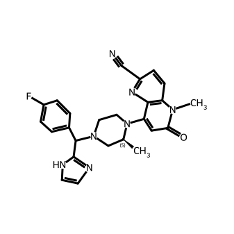 C[C@H]1CN(C(c2ccc(F)cc2)c2ncc[nH]2)CCN1c1cc(=O)n(C)c2ccc(C#N)nc12